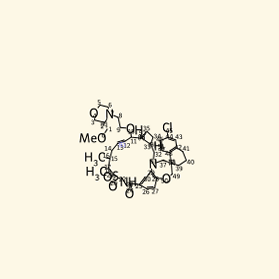 COC[C@@H]1COCCN1CCOC1/C=C/CC(C)C(C)S(=O)(=O)NC(=O)c2ccc3c(c2)N(C[C@@H]2CC[C@@H]12)C[C@@]1(CCCc2cc(Cl)ccc21)CO3